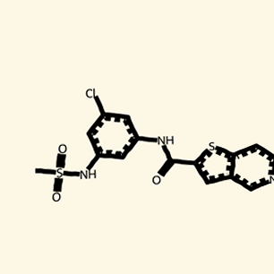 CS(=O)(=O)Nc1cc(Cl)cc(NC(=O)c2cc3cnccc3s2)c1